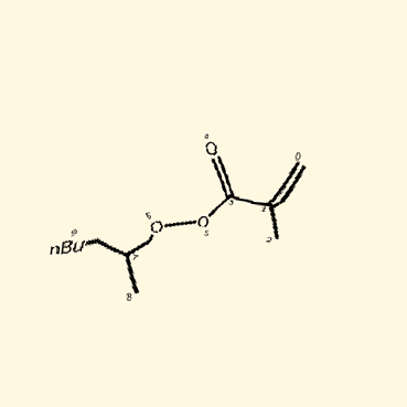 C=C(C)C(=O)OOC(C)CCCC